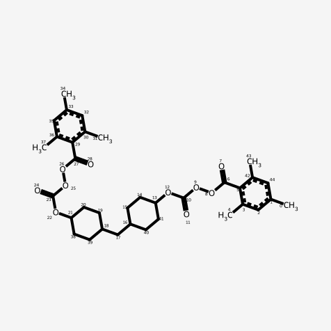 Cc1cc(C)c(C(=O)OOC(=O)OC2CCC(CC3CCC(OC(=O)OOC(=O)c4c(C)cc(C)cc4C)CC3)CC2)c(C)c1